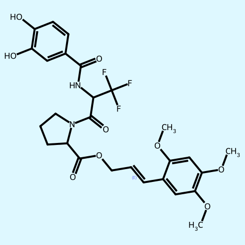 COc1cc(OC)c(OC)cc1/C=C/COC(=O)C1CCCN1C(=O)C(NC(=O)c1ccc(O)c(O)c1)C(F)(F)F